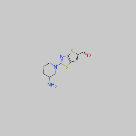 NC1CCCN(c2nc3sc(C=O)cc3s2)C1